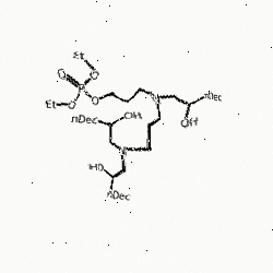 CCCCCCCCCCC(O)CN(CCCOP(=O)(OCC)OCC)CCCN(CC(O)CCCCCCCCCC)CC(O)CCCCCCCCCC